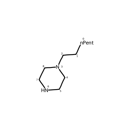 CCCCC[CH]CN1CCNCC1